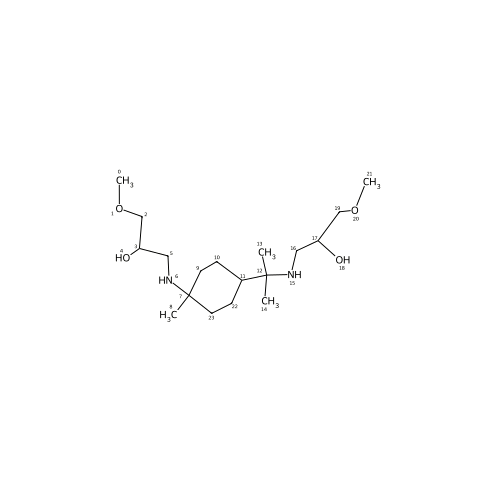 COCC(O)CNC1(C)CCC(C(C)(C)NCC(O)COC)CC1